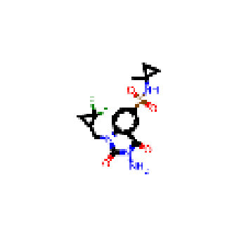 CC1(NS(=O)(=O)c2ccc3c(c2)c(=O)n(N)c(=O)n3CC2CC2(F)F)CC1